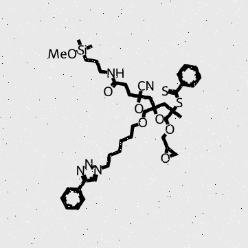 CO[Si](C)(C)CCCNC(=O)CCC(C)(C#N)CC(C)(CC(C)(SC(=S)c1ccccc1)C(=O)OCC1CO1)C(=O)OCCCCCCn1cc(-c2ccccc2)nn1